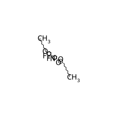 CCCCCCCC[C@H]1CO[C@H](c2ccc(-c3ccc(OCCCCCCC)c(F)c3F)nc2)OC1